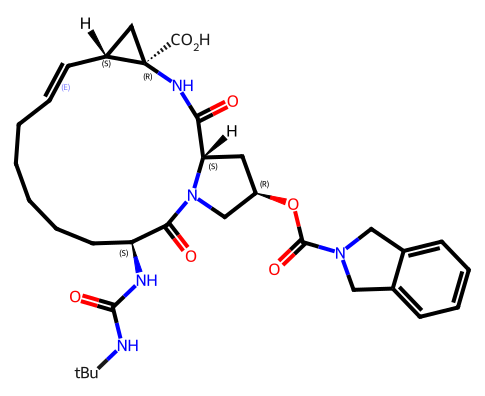 CC(C)(C)NC(=O)N[C@H]1CCCCC/C=C/[C@@H]2C[C@@]2(C(=O)O)NC(=O)[C@@H]2C[C@@H](OC(=O)N3Cc4ccccc4C3)CN2C1=O